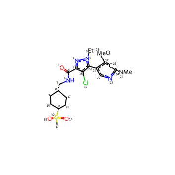 CCn1nc(C(=O)NC[C@H]2CC[C@H](S(C)(=O)=O)CC2)c(Cl)c1-c1cnc(NC)cc1OC